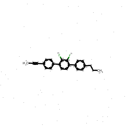 CC#Cc1ccc(-c2ccc(-c3ccc(CCC)cc3)c(F)c2F)cc1